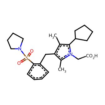 Cc1c(Cc2ccccc2S(=O)(=O)N2CCCC2)c(C)n(CC(=O)O)c1C1CCCC1